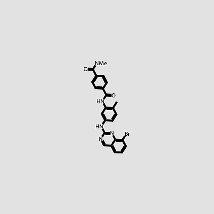 CNC(=O)c1ccc(C(=O)Nc2cc(Nc3ncc4cccc(Br)c4n3)ccc2C)cc1